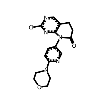 O=C1CCc2cnc(Cl)nc2N1c1ccc(N2CCOCC2)nc1